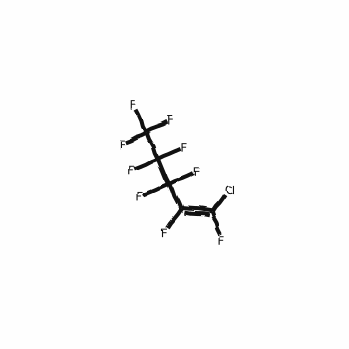 FC(Cl)=C(F)C(F)(F)C(F)(F)C(F)(F)F